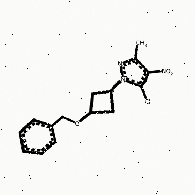 Cc1nn(C2CC(OCc3ccccc3)C2)c(Cl)c1[N+](=O)[O-]